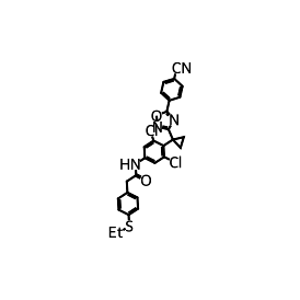 CCSc1ccc(CC(=O)Nc2cc(Cl)c(C3(c4noc(-c5ccc(C#N)cc5)n4)CC3)c(Cl)c2)cc1